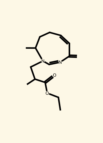 C=C1/C=C\CCC(C)N(CC(C)C(=O)OCC)/C=N\1